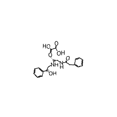 C[C@H](CNC(=O)Cc1ccccc1)NC[C@H](O)c1ccccc1.O=C(O)C(=O)O